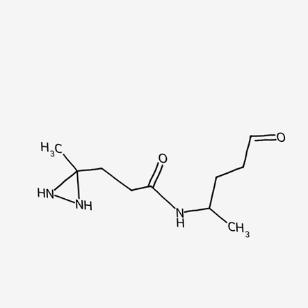 CC(CCC=O)NC(=O)CCC1(C)NN1